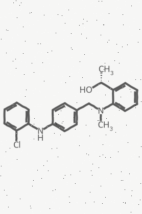 C[C@@H](O)c1ccccc1N(C)Cc1ccc(Nc2ccccc2Cl)cc1